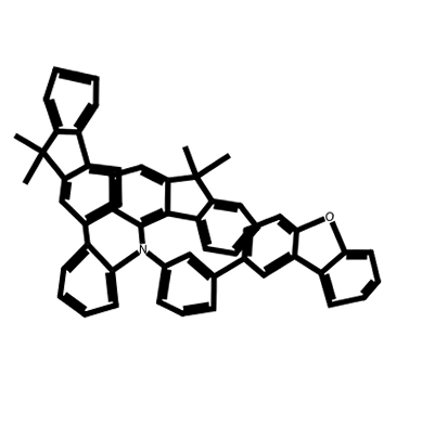 CC1(C)c2ccccc2-c2ccc(-c3ccccc3N(c3cccc(-c4ccc5oc6ccccc6c5c4)c3)c3cccc4c3-c3ccccc3C4(C)C)cc21